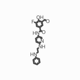 O=Cc1cc(C(=O)Nc2ccc(NCCNc3ccccc3)nc2)cc(F)c1O